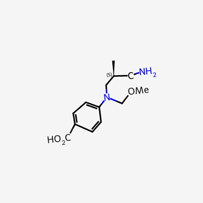 COCN(C[C@@H](C)CN)c1ccc(C(=O)O)cc1